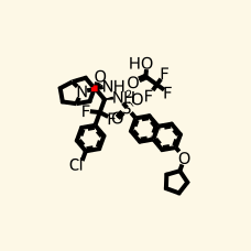 NC1CC2CCC(C1)N2C(=O)[C@@H](NS(=O)(=O)c1ccc2cc(OC3CCCC3)ccc2c1)C(F)(F)c1ccc(Cl)cc1.O=C(O)C(F)(F)F